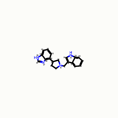 c1ccc2c(CN3CCC(c4cccc5[nH]cnc45)C3)c[nH]c2c1